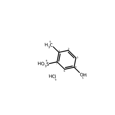 Cc1ccc(O)cc1S(=O)(=O)O.Cl